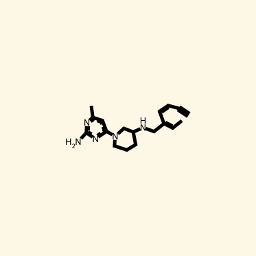 C#C/C=C\C(=C/C)CNC1CCCN(c2cc(C)nc(N)n2)C1